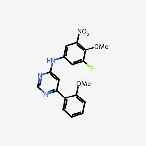 COc1ccccc1-c1cc(Nc2cc(F)c(OC)c([N+](=O)[O-])c2)ncn1